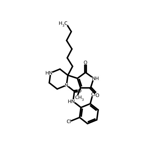 CCCCCCC1(C2=C(C)C(=O)NC2=O)CNCCN1C(=O)Nc1c(Cl)cccc1Cl